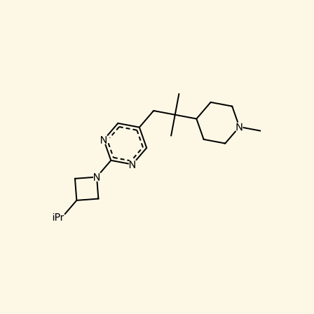 CC(C)C1CN(c2ncc(CC(C)(C)C3CCN(C)CC3)cn2)C1